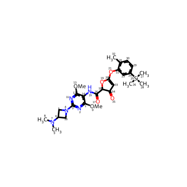 COc1nc(N2CC(N(C)C)C2)nc(OC)c1NC(=O)C1OC(Oc2cc([Si](C)(C)C)ccc2C)=CC1=O